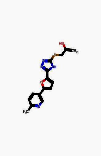 C=C(O)CSc1nnc(-c2ccc(-c3ccc(C(F)(F)F)nc3)o2)[nH]1